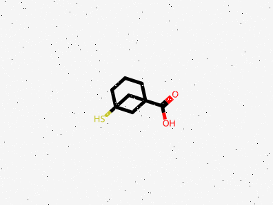 O=C(O)C12CCCC(S)(C1)C2